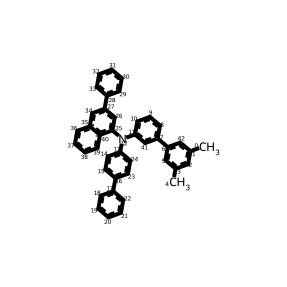 Cc1cc(C)cc(-c2cccc(N(c3ccc(-c4ccccc4)cc3)c3cc(-c4ccccc4)cc4ccccc34)c2)c1